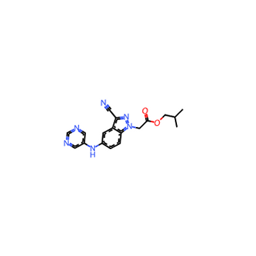 CC(C)COC(=O)Cn1nc(C#N)c2cc(Nc3cncnc3)ccc21